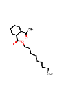 CCCCCCCCCCCCCCCCCCOC(=O)C1CCCCC1C(=O)OCC(C)C